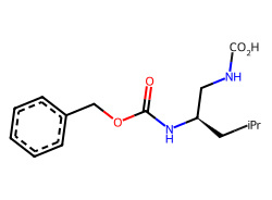 CC(C)C[C@H](CNC(=O)O)NC(=O)OCc1ccccc1